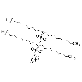 CCCCCCCCCS(CCCCCCCCC)=P([O-])([O-])[S-].CCCCCCCCCS(CCCCCCCCC)=P([O-])([O-])[S-].[Cd+2].[Cd+2].[Cd+2]